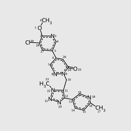 COc1ncc(-c2cnn(Cc3c(-c4ccc(C)nc4)nnn3C)c(=O)c2)cc1Cl